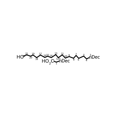 CCCCCCCCCCCC(=O)O.CCCCCCCCCCCCCCCCCCCCCCCCCCCCO